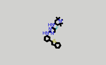 CN1C(C)(C)CC(Nc2nc(Nc3cccc(-c4cc5ccccc5s4)c3)ncc2F)CC1(C)C